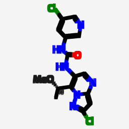 CO[C@@H](C)c1c(NC(=O)Nc2cncc(Cl)c2)cnc2cc(Cl)nn12